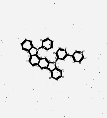 c1ccc(-n2c3ccccc3c3ccc4cc5c6ccccc6n(-c6cccc(-c7cccnc7)c6)c5cc4c32)cc1